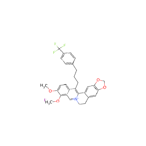 COc1ccc2c(CCCc3ccc(C(F)(F)F)cc3)c3[n+](cc2c1OC)CCc1cc2c(cc1-3)OCO2.[I-]